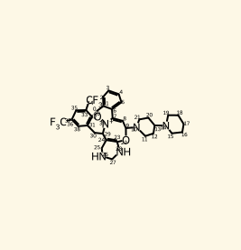 Cc1ccccc1/C1=C/C(N2CCC(N3CCCCC3)CC2)OC2=C(CNCN2)C(Cc2cc(C(F)(F)F)cc(C(F)(F)F)c2)[N+]1=O